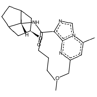 CCCCO[C@H]1CC2CCC(C1)[C@@H]2NC(=O)c1ncn2c(C)cc(COC)nc12